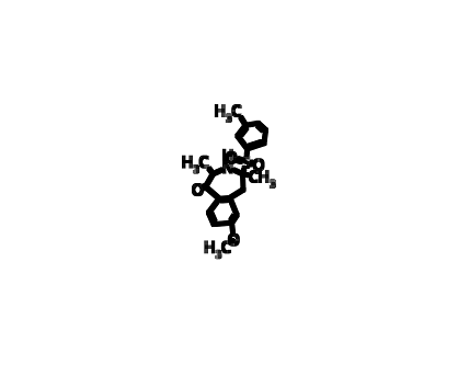 COc1ccc2c(c1)CC(C)(S(=O)(=O)c1cccc(C)c1)NC(C)C2=O